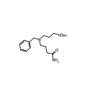 CCCCCCCCCCCCCN(CCCC(N)=O)Cc1ccccc1